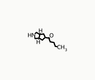 CCCCC(=O)C1C[C@H]2CNC[C@@H]2C1